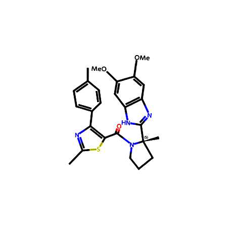 COc1cc2nc([C@]3(C)CCCN3C(=O)c3sc(C)nc3-c3ccc(C)cc3)[nH]c2cc1OC